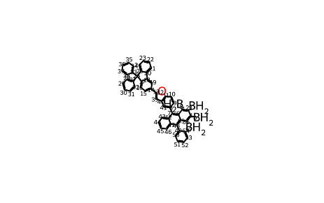 Bc1c(B)c(B)c2c(-c3ccc4oc(-c5ccc6c(c5)-c5ccccc5C6(c5ccccc5)c5ccccc5)cc4c3)c3ccccc3c(-c3ccccc3)c2c1B